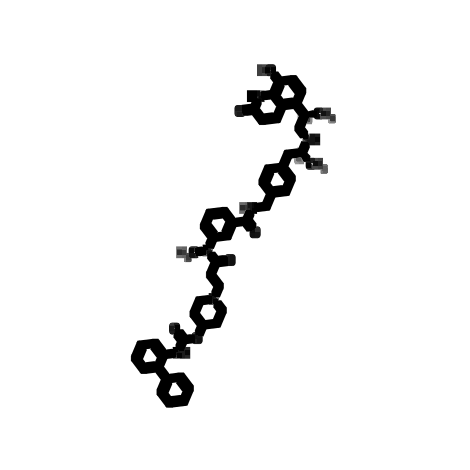 C[C@@H](Cc1ccc(CNC(=O)c2cccc(N(C)C(=O)CCN3CCC(OC(=O)Nc4ccccc4-c4ccccc4)CC3)c2)cc1)NC[C@H](C)c1ccc(O)c2[nH]c(=O)ccc12